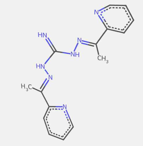 C/C(=N\NC(=N)N/N=C(\C)c1ccccn1)c1ccccn1